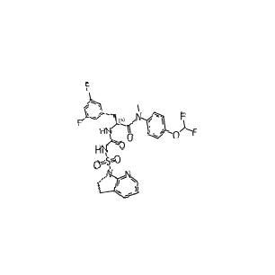 CN(C(=O)[C@H](Cc1cc(F)cc(F)c1)NC(=O)NS(=O)(=O)N1CCc2cccnc21)c1ccc(OC(F)F)cc1